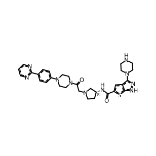 O=C(N[C@@H]1CCN(CC(=O)N2CCN(c3ccc(-c4ncccn4)cc3)CC2)C1)c1cc2c(N3CCNCC3)n[nH]c2s1